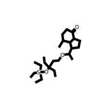 CCC(CC)(CCOC(C)C1CCC2C(=O)CCC(C)C21)O[Si](CC)(CC)CC